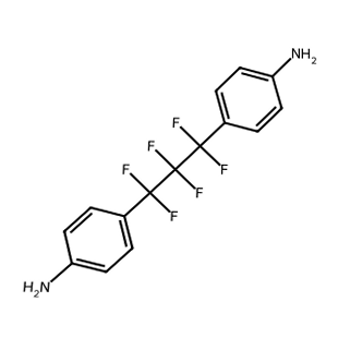 Nc1ccc(C(F)(F)C(F)(F)C(F)(F)c2ccc(N)cc2)cc1